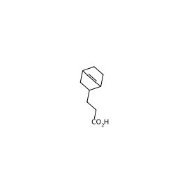 O=C(O)CCC1CC2C=CC1CC2